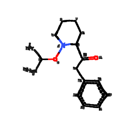 CCCCCCC(CCC)ON1CCCCC1C(=O)Cc1ccccc1